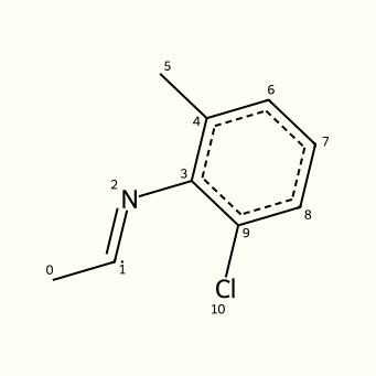 C[C]=Nc1c(C)cccc1Cl